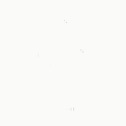 OCc1ccc(C2(C(F)(F)F)C=Nc3cccnc3C2)cc1